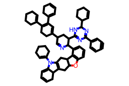 c1ccc(C2=NC(C3C=CCCC3)NC(C3CC(C4=CC(C5=CC=CCC5)=C(C5=CCCCC5)CC4)C=NC3c3cccc4c3C3CC5=C(CC3O4)C3CC=CC=C3N5C3=CCCCC3)=N2)cc#1